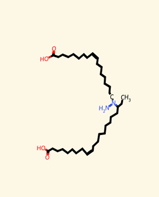 CCC(CCCCCCCC/C=C\CCCCCCCC(=O)O)N(N)CCCCCCCC/C=C\CCCCCCCC(=O)O